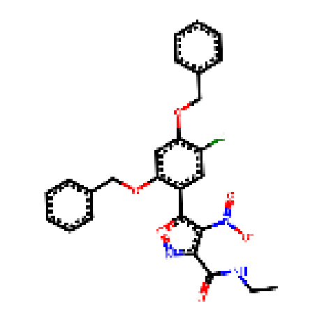 CCNC(=O)c1noc(-c2cc(Cl)c(OCc3ccccc3)cc2OCc2ccccc2)c1[N+](=O)[O-]